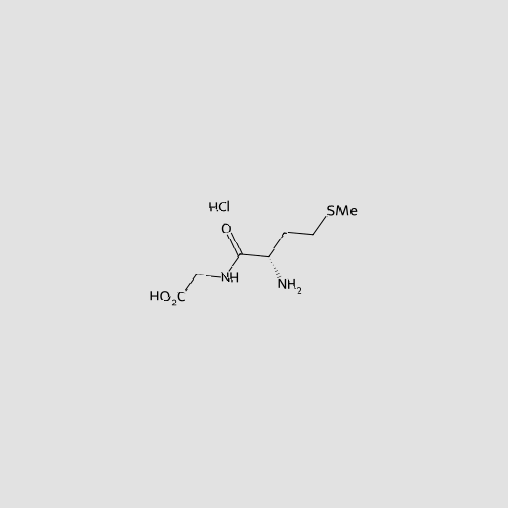 CSCC[C@H](N)C(=O)NCC(=O)O.Cl